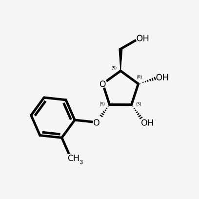 Cc1ccccc1O[C@@H]1O[C@@H](CO)[C@H](O)[C@@H]1O